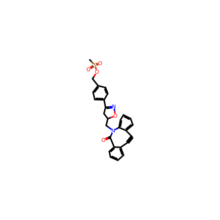 CS(=O)(=O)OCc1ccc(C2=NOC(CN3C(=O)c4ccccc4C#Cc4ccccc43)C2)cc1